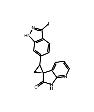 O=C1Nc2ncccc2[C@]12CC2c1ccc2c(I)n[nH]c2c1